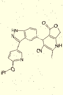 [C-]#[N+]C1=C(C)NC2=C(C(=O)OC2)C1c1ccc2[nH]nc(-c3ccc(OC(C)C)nc3)c2c1